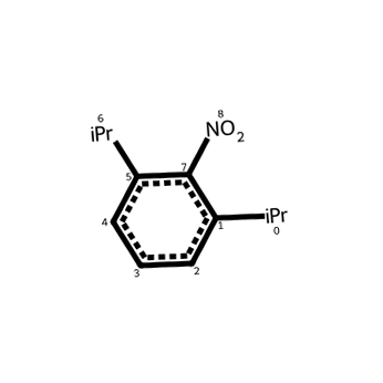 [CH2]C(C)c1cccc(C(C)C)c1[N+](=O)[O-]